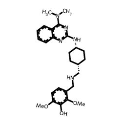 COc1ccc(CNC[C@H]2CC[C@@H](Nc3nc(N(C)C)c4ccccc4n3)CC2)c(OC)c1O